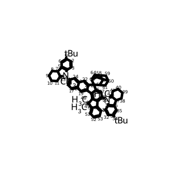 CC(C)(C)c1ccc2c(c1)C1CCCCC1(C)N2c1ccc2cc3c(cc2c1)C1(c2cc(N4c5ccc(C(C)(C)C)cc5C5CCCCC54C)c4c(c2-3)C(C)(C)c2ccccc2-4)C2CC3CC(C2)CC1C3